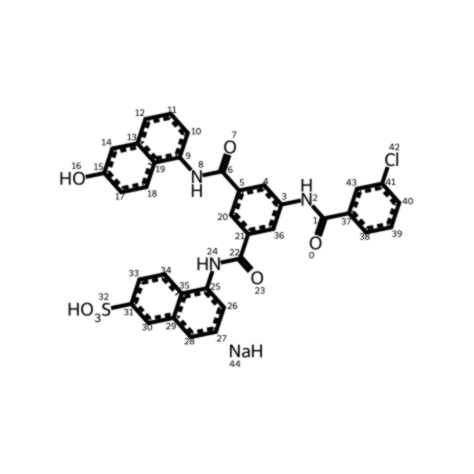 O=C(Nc1cc(C(=O)Nc2cccc3cc(O)ccc23)cc(C(=O)Nc2cccc3cc(S(=O)(=O)O)ccc23)c1)c1cccc(Cl)c1.[NaH]